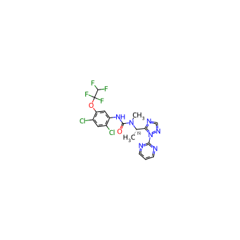 C[C@@H](c1ncnn1-c1ncccn1)N(C)C(=O)Nc1cc(OC(F)(F)C(F)F)c(Cl)cc1Cl